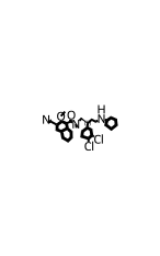 COc1c(C#N)cc2ccccc2c1C(=O)N(C)C[C@@H](CCNc1ccccc1)c1ccc(Cl)c(Cl)c1